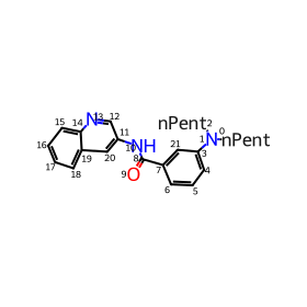 CCCCCN(CCCCC)c1cccc(C(=O)Nc2cnc3ccccc3c2)c1